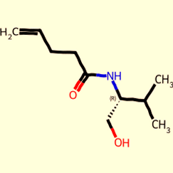 C=CCCC(=O)N[C@@H](CO)C(C)C